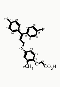 Cc1cc(SCC=C(c2ccc(I)cc2)c2ccc(I)cc2)ccc1OCC(=O)O